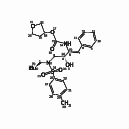 CC[C@H](C)CN(C[C@@H](O)[C@H](Cc1ccccc1)NC(=O)OC1CCOC1)S(=O)(=O)c1ccc(C)cc1